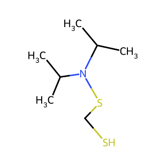 CC(C)N(SCS)C(C)C